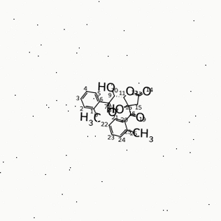 Cc1ccccc1C(=O)C(O)[C@@H]1OC(=O)C[C@]1(O)C(=O)c1ccccc1C